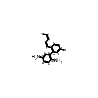 C/C=C\C=C/c1ccc(C)cc1-c1cc(N)ccc1N